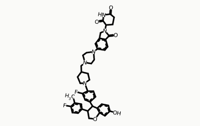 Cc1cc(C2COc3cc(O)ccc3C2c2ccc(N3CCC(CN4CCN(c5ccc6c(c5)CN(C5CCC(=O)NC5=O)C6=O)CC4)CC3)c(F)c2)ccc1F